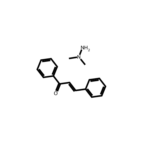 CN(C)N.O=C(C=Cc1ccccc1)c1ccccc1